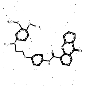 COc1ccc(N(C)CCOc2ccc(NC(=O)c3cccc4c(=O)c5ccccc5oc34)cc2)cc1OC